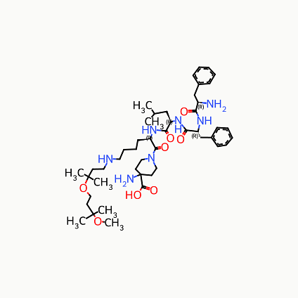 COC(C)(C)CCOC(C)(C)CCNCCCC[C@@H](NC(=O)[C@@H](CC(C)C)NC(=O)[C@@H](Cc1ccccc1)NC(=O)[C@H](N)Cc1ccccc1)C(=O)N1CCC(N)(C(=O)O)CC1